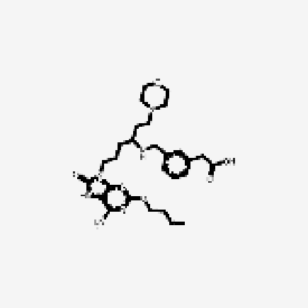 CCCCOc1nc(N)c2[nH]c(=O)n(CCCC(CCN3CCOCC3)NCc3cccc(CC(=O)O)c3)c2n1